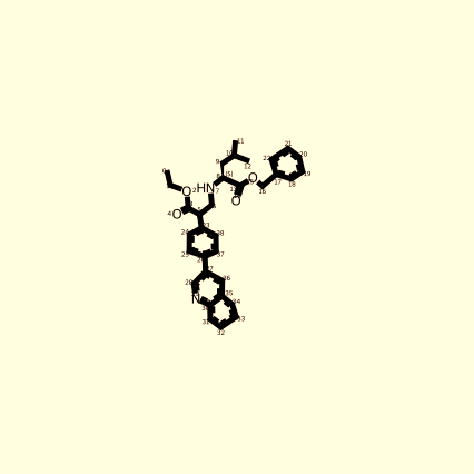 CCOC(=O)C(CN[C@@H](CC(C)C)C(=O)OCc1ccccc1)c1ccc(-c2cnc3ccccc3c2)cc1